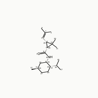 CC(C)=C[C@H]1[C@@H](C(=O)N[C@H]2C[C@H](C)CC[C@H]2C(C)C)C1(C)C